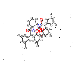 Cc1cc(C)cc(C(C(=O)N(O)C2CCCC[C@H]2N(O)C(=O)C(c2cc(C)cc(C)c2)c2cc(C)cc(C)c2)c2cc(C)cc(C)c2)c1